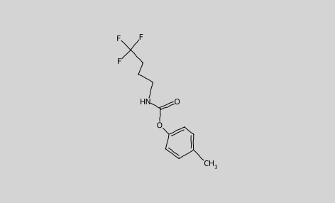 Cc1ccc(OC(=O)NCCCC(F)(F)F)cc1